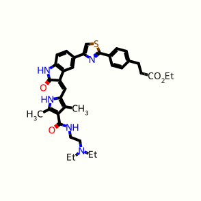 CCOC(=O)CCc1ccc(-c2nc(-c3ccc4c(c3)/C(=C/c3[nH]c(C)c(C(=O)NCCN(CC)CC)c3C)C(=O)N4)cs2)cc1